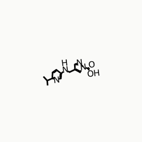 CC(C)c1ccc(NCc2cnn(C(=O)O)c2)cn1